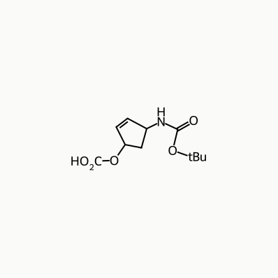 CC(C)(C)OC(=O)NC1C=CC(OC(=O)O)C1